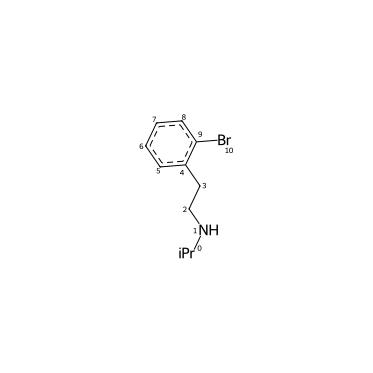 CC(C)NCCc1ccccc1Br